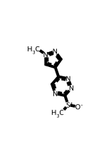 Cn1cc(-c2cnc([S+](C)[O-])nn2)cn1